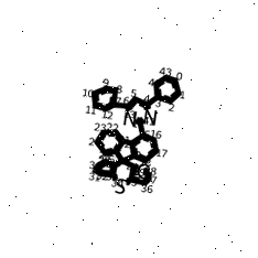 c1ccc(-c2cc(-c3ccccc3)nc(-c3cccc4c3-c3ccccc3C43c4ccccc4Sc4ccccc43)n2)cc1